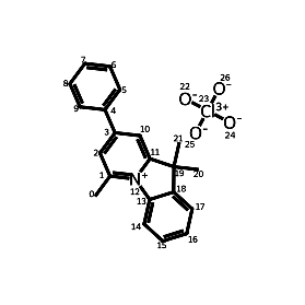 Cc1cc(-c2ccccc2)cc2[n+]1-c1ccccc1C2(C)C.[O-][Cl+3]([O-])([O-])[O-]